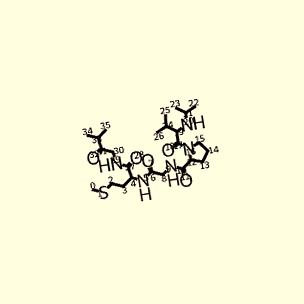 CSCCC(NC(=O)CNC(=O)C1CCCN1C(=O)C(NC(C)C)C(C)C)C(=O)NCC(=O)C(C)C